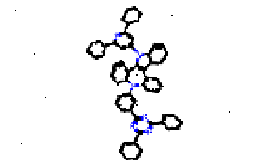 C1=CC2C3=C(c4ccccc4N(c4cccc(-c5nc(C6=CCCCC6)nc(-c6ccccc6)n5)c4)c4ccccc43)N(c3cc(C4=CCCC=C4)nc(-c4ccccc4)c3)C2C=C1